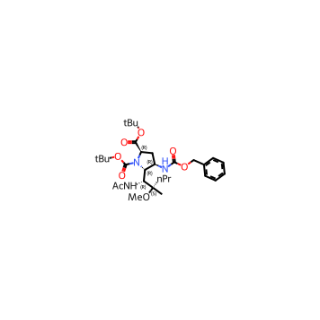 CCC[C@](C)(OC)[C@H](NC(C)=O)[C@H]1[C@H](NC(=O)OCc2ccccc2)C[C@H](C(=O)OC(C)(C)C)N1C(=O)OC(C)(C)C